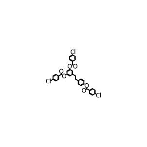 O=C(Oc1ccc(CCc2cc(OC(=O)c3ccc(Cl)cc3)cc(OC(=O)c3ccc(Cl)cc3)c2)cc1)c1ccc(Cl)cc1